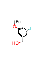 CC(C)(C)Oc1cc(F)cc(CO)c1